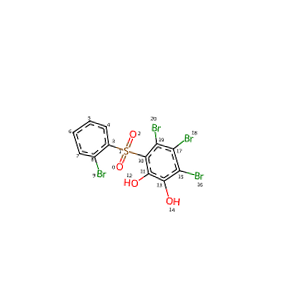 O=S(=O)(c1ccccc1Br)c1c(O)c(O)c(Br)c(Br)c1Br